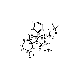 CC(C)C[C@H](NC(=O)OC(C)(C)C)C(=O)N(N1C[C@@H](O)CCC[C@H]1C)S(=O)(=O)c1ccccn1